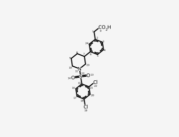 O=C(O)Cc1cccc(C2CCCN(S(=O)(=O)c3ccc(Cl)cc3Cl)C2)c1